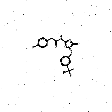 O=C(Cc1ccc(F)cc1)Nc1nc(=O)n(Cc2cccc(C(F)(F)F)c2)s1